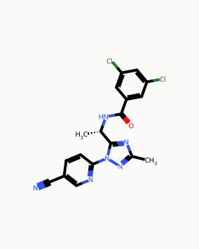 Cc1nc([C@H](C)NC(=O)c2cc(Cl)cc(Cl)c2)n(-c2ccc(C#N)cn2)n1